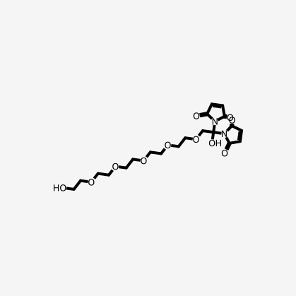 O=C1C=CC(=O)N1C(O)(COCCOCCOCCOCCOCCO)N1C(=O)C=CC1=O